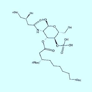 CCCCCCCCCCCCCCCC[C@H](CCCCCCCCC)CC(=O)O[C@@H]1[C@H](NC(=O)C[C@H](O)CCCCCCCCCCC)[C@@H](O)O[C@H](CO)[C@H]1OP(=O)(O)O